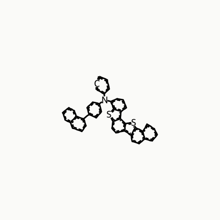 c1ccc(N(c2ccc(-c3cccc4ccccc34)cc2)c2cccc3c2sc2ccc4c5ccc6ccccc6c5sc4c23)cc1